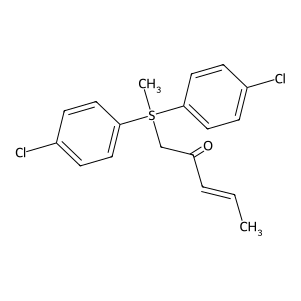 CC=CC(=O)CS(C)(c1ccc(Cl)cc1)c1ccc(Cl)cc1